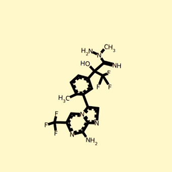 Cc1ccc(C(O)(C(=N)N(C)N)C(F)(F)F)cc1-c1cnc2c(N)nc(C(F)(F)F)cn12